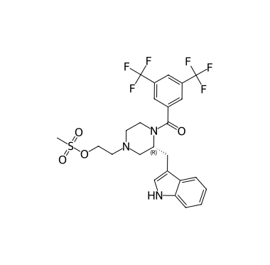 CS(=O)(=O)OCCN1CCN(C(=O)c2cc(C(F)(F)F)cc(C(F)(F)F)c2)[C@H](Cc2c[nH]c3ccccc23)C1